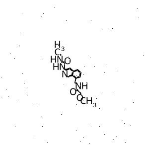 CCNC(=O)Nc1cc2cccc(CNC(=O)COC)c2cn1